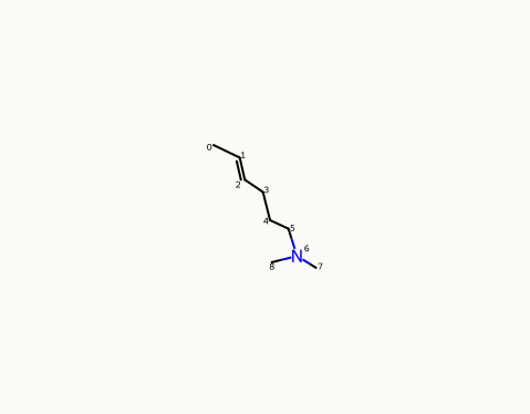 C/C=C/CCCN(C)C